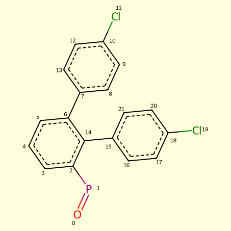 O=Pc1cccc(-c2ccc(Cl)cc2)c1-c1ccc(Cl)cc1